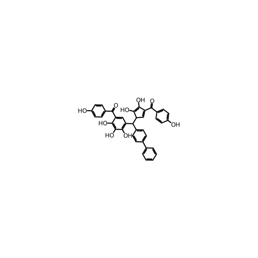 O=C(C1=CC(C(c2ccc(-c3ccccc3)cc2)c2cc(C(=O)c3ccc(O)cc3)c(O)c(O)c2O)C(O)=C1O)c1ccc(O)cc1